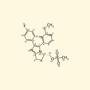 CSc1nccc(-c2c(-c3ccc(F)cc3)nc3n2[C@H](COS(C)(=O)=O)CC3)n1